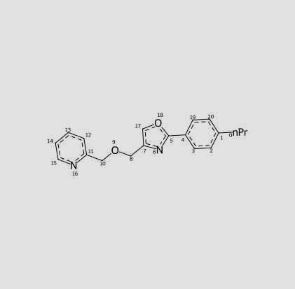 CCCc1ccc(-c2nc(COCc3ccccn3)co2)cc1